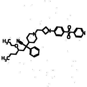 CCC[C@H](CC(C#N)(c1ccccc1)C1CCN(CC2CN(c3ccc(S(=O)(=O)c4ccncc4)cc3)C2)CC1)OCC